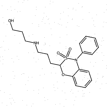 O=S1(=O)C(CCCNCCCO)Oc2ccccc2N1c1ccccc1